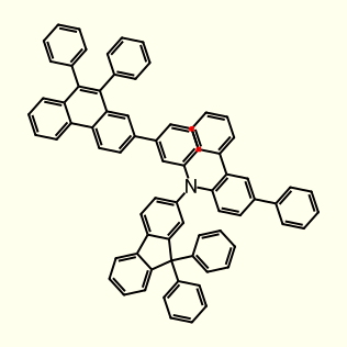 c1ccc(-c2ccc(N(c3cccc(-c4ccc5c(c4)c(-c4ccccc4)c(-c4ccccc4)c4ccccc45)c3)c3ccc4c(c3)C(c3ccccc3)(c3ccccc3)c3ccccc3-4)c(-c3ccccc3)c2)cc1